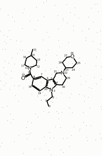 CCCn1c2c(c3cc(C(=O)N4CCC(C)CC4)ccc31)CN(C1CCOCC1)CC2